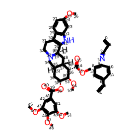 C=CC#N.C=Cc1ccccc1.COC(=O)[C@H]1[C@H]2C[C@@H]3c4[nH]c5cc(OC)ccc5c4CCN3C[C@H]2C[C@@H](OC(=O)c2cc(OC)c(OC)c(OC)c2)[C@@H]1OC